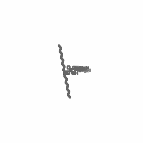 CCCCCCCCCCCCCCCCCC.O=P(O)(O)O.[MgH2].[MgH2].[MgH2]